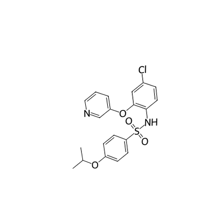 CC(C)Oc1ccc(S(=O)(=O)Nc2ccc(Cl)cc2Oc2cccnc2)cc1